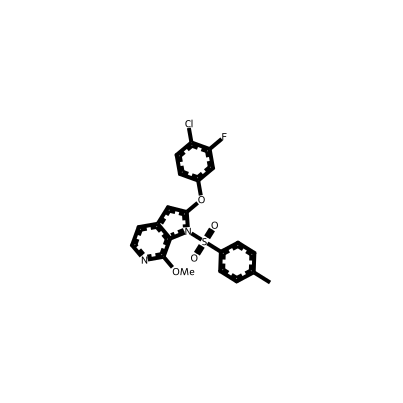 COc1nccc2cc(Oc3ccc(Cl)c(F)c3)n(S(=O)(=O)c3ccc(C)cc3)c12